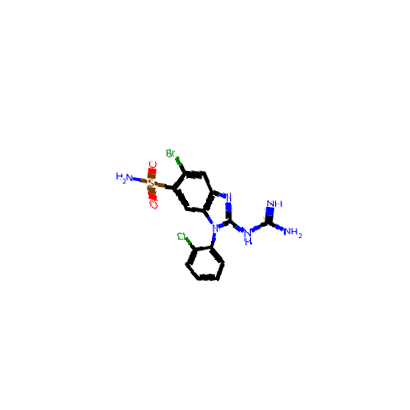 N=C(N)Nc1nc2cc(Br)c(S(N)(=O)=O)cc2n1-c1ccccc1Cl